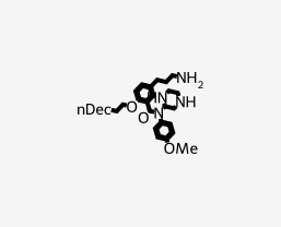 CCCCCCCCCCCCOc1ccc(CCCN)cc1C(=O)N(c1ccc(OC)cc1)C1CNCCN1